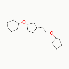 [CH]1CCC(OCCC2CCC(OC3[CH]CCCC3)C2)C1